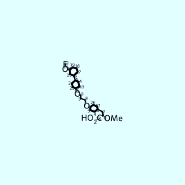 CO[C@@H](Cc1ccc(OCCCOc2ccc(-c3cccc(OF)c3)cc2)cc1)C(=O)O